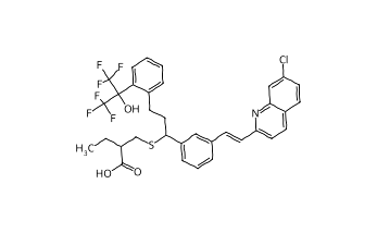 CCC(CSC(CCc1ccccc1C(O)(C(F)(F)F)C(F)(F)F)c1cccc(C=Cc2ccc3ccc(Cl)cc3n2)c1)C(=O)O